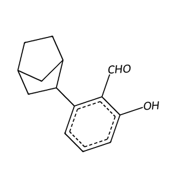 O=Cc1c(O)cccc1C1CC2CCC1C2